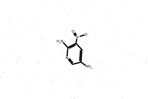 Nc1cnc(N)c([N+](=O)[O-])c1